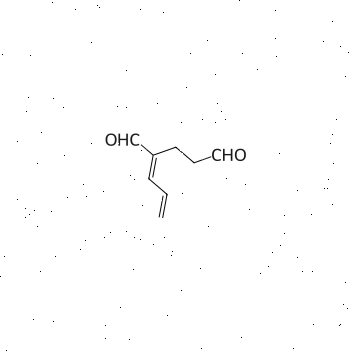 C=CC=C(C=O)CCC=O